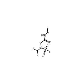 CCNC(=O)CN(C(C)C)S(C)(=O)=O